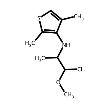 COC(Cl)C(C)Nc1c(C)csc1C